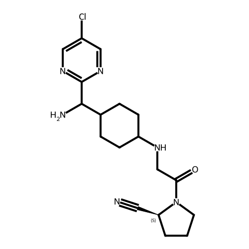 N#C[C@@H]1CCCN1C(=O)CNC1CCC(C(N)c2ncc(Cl)cn2)CC1